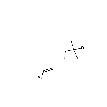 CCC=CCCCC(C)(C)[O]